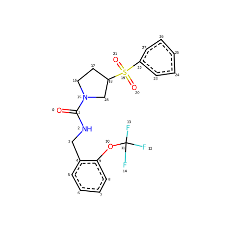 O=C(NCc1ccccc1OC(F)(F)F)N1CCC(S(=O)(=O)c2ccccc2)C1